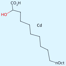 CCCCCCCCCCCCCCCCC(O)C(=O)O.[Cd]